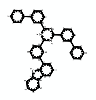 c1ccc(-c2cccc(-c3nc(-c4cccc(-c5ccccc5)c4)nc(-c4cccc(-c5cccc6c5oc5ccccc56)c4)n3)c2)cc1